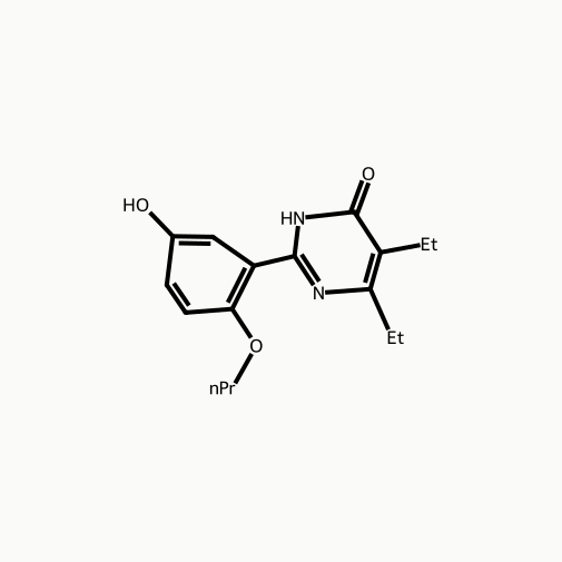 CCCOc1ccc(O)cc1-c1nc(CC)c(CC)c(=O)[nH]1